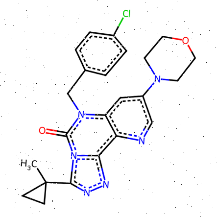 CC1(c2nnc3c4ncc(N5CCOCC5)cc4n(Cc4ccc(Cl)cc4)c(=O)n23)CC1